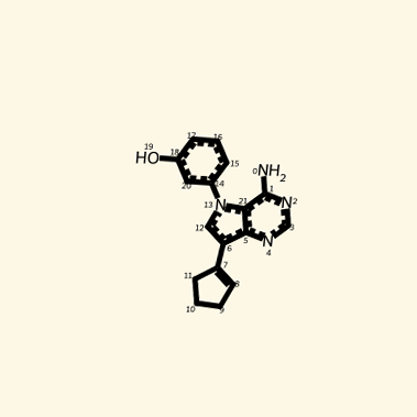 Nc1ncnc2c(C3=CCCC3)cn(-c3cccc(O)c3)c12